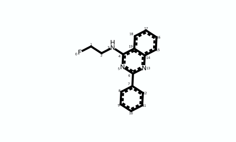 FCCNc1nc(-c2ccccc2)nc2ccccc12